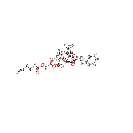 C#CCCCC(=O)OCC(=O)O[C@@H]1C[C@]2(C(C)C)OC1(C)[C@@H]1CC[C@@H](C)[C@H]1[C@@H]2OC(=O)/C=C/c1ccccc1